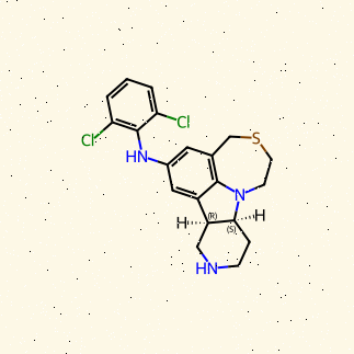 Clc1cccc(Cl)c1Nc1cc2c3c(c1)[C@@H]1CNCC[C@@H]1N3CCSC2